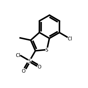 Cc1c(S(=O)(=O)Cl)sc2c(Cl)cccc12